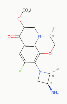 C[C@@H]1[C@@H](N)CN1c1c(F)cc2c(=O)c(OC(=O)O)cn3c2c1OC[C@H]3C